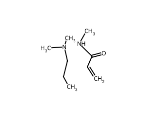 C=CC(=O)NC.CCCN(C)C